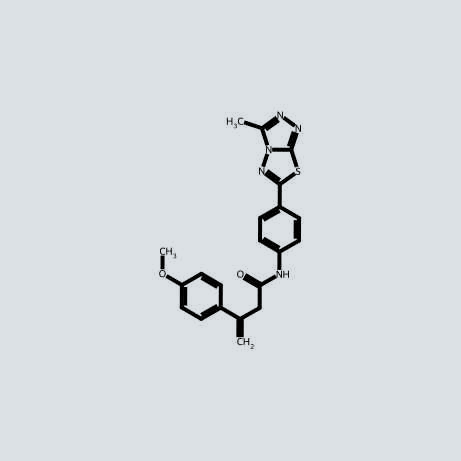 C=C(CC(=O)Nc1ccc(-c2nn3c(C)nnc3s2)cc1)c1ccc(OC)cc1